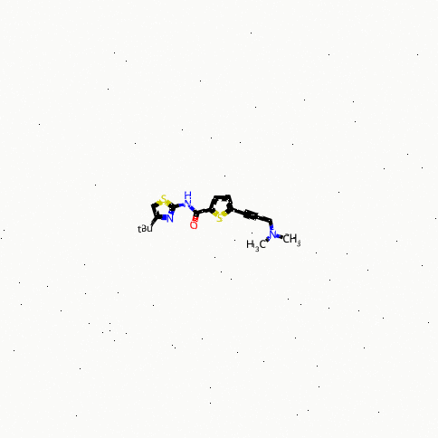 CN(C)CC#Cc1ccc(C(=O)Nc2nc(C(C)(C)C)cs2)s1